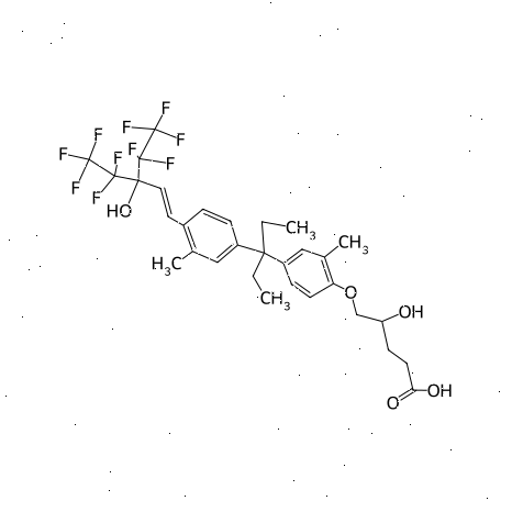 CCC(CC)(c1ccc(C=CC(O)(C(F)(F)C(F)(F)F)C(F)(F)C(F)(F)F)c(C)c1)c1ccc(OCC(O)CCC(=O)O)c(C)c1